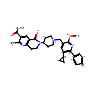 COC(=O)c1cc2c(nc1C)CCN(C1CCN(Cc3cc(C4CC4)c(-c4ccc(F)cc4)nc3OC(C)C)CC1)C2=O